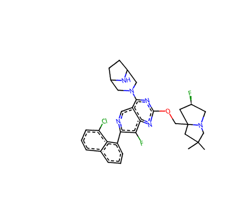 CC1(C)CN2C[C@H](F)CC2(COc2nc(N3CC4CCC(C3)N4)c3cnc(-c4cccc5cccc(Cl)c45)c(F)c3n2)C1